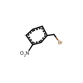 O=[N+]([O-])c1[c]ccc(CBr)c1